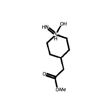 COC(=O)CC1CC[SH](=N)(O)CC1